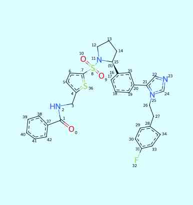 O=C(NCc1ccc(S(=O)(=O)N2CCC[C@H]2c2cccc(-c3cncn3CCc3ccc(F)cc3)c2)s1)c1ccccc1